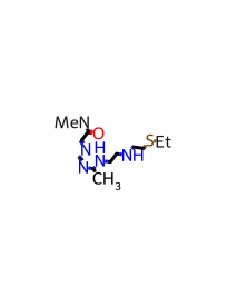 CCSCCNCCNC(C)/N=C\N=C\C(=O)NC